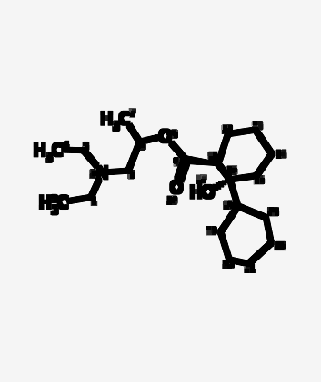 CCN(CC)CC(C)OC(=O)[C@H]1CCCC[C@@]1(O)C1CCCCC1